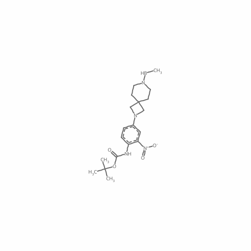 CBN1CCC2(CC1)CN(c1ccc(NC(=O)OC(C)(C)C)c([N+](=O)[O-])c1)C2